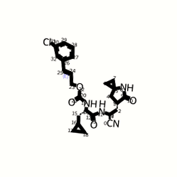 N#C[C@H](C[C@@H]1CC2(CC2)NC1=O)NC(=O)[C@H](CC1CC1)NC(=O)OC/C=C/c1cccc(Cl)c1